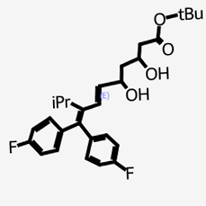 CC(C)C(/C=C/C(O)CC(O)CC(=O)OC(C)(C)C)=C(c1ccc(F)cc1)c1ccc(F)cc1